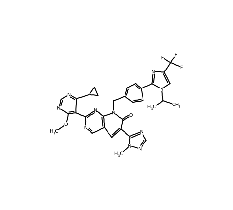 COc1ncnc(C2CC2)c1-c1ncc2cc(-c3ncnn3C)c(=O)n(Cc3ccc(-c4nc(C(F)(F)F)cn4C(C)C)cc3)c2n1